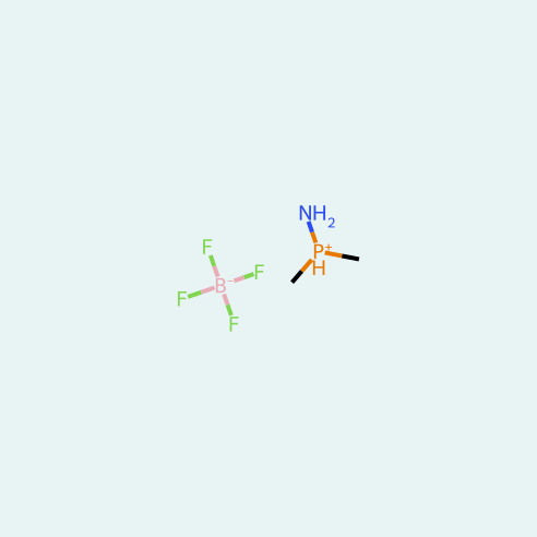 C[PH+](C)N.F[B-](F)(F)F